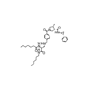 CCCCCCNC(=O)[C@H](CNCc1ccc(C(=O)N2C[C@@H](C)[C@H](C(=O)N[C@H]3C[C@@H]3c3ccccc3)C2)cc1)NC(=O)CCCCCC